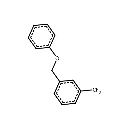 FC(F)(F)c1cccc(COc2[c]cccc2)c1